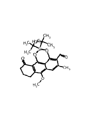 COc1c2c(c3c4c(c(C=O)c(C)cc14)O[Si](C(C)(C)C)(C(C)(C)C)O3)C(=O)CCC2